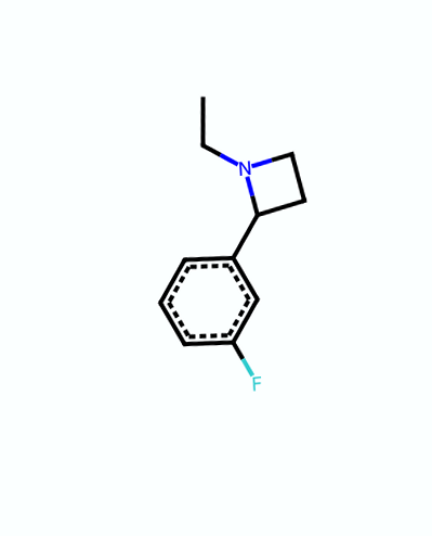 CCN1CCC1c1cccc(F)c1